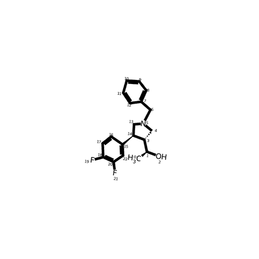 C[C@H](O)[C@H]1CN(Cc2ccccc2)C[C@@H]1c1ccc(F)c(F)c1